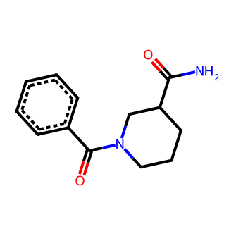 NC(=O)C1CCCN(C(=O)c2ccccc2)C1